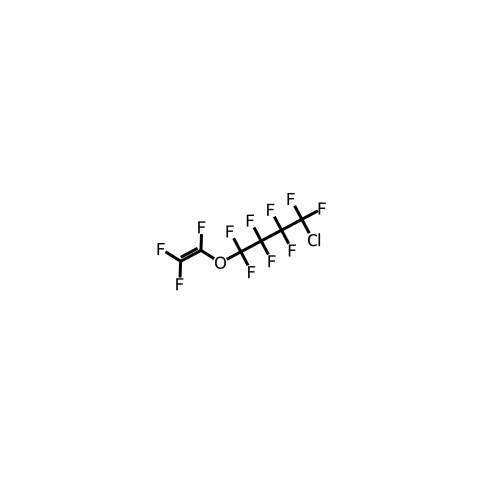 FC(F)=C(F)OC(F)(F)C(F)(F)C(F)(F)C(F)(F)Cl